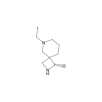 O=C1NCC12CCCN(CI)C2